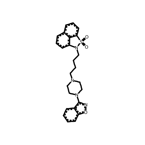 O=S1(=O)c2cccc3cccc(c23)N1CCCCN1CCN(c2noc3ccccc23)CC1